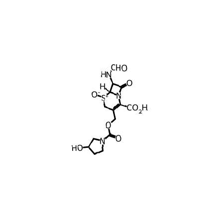 O=CNC1C(=O)N2C(C(=O)O)=C(COC(=O)N3CCC(O)C3)C[S+]([O-])[C@H]12